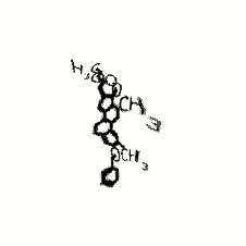 CCOC(=O)CC1CC2C3CCc4cc(OCc5ccccc5)c(CC)cc4C3C[C@@H](C)C2C1=O